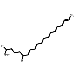 [CH2]/C=C/CCCCCCCCCCCC(CC)CCCC(CC)CCCC[CH2]